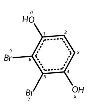 Oc1ccc(O)c(Br)c1Br